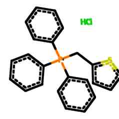 Cl.c1ccc([P](Cc2cccs2)(c2ccccc2)c2ccccc2)cc1